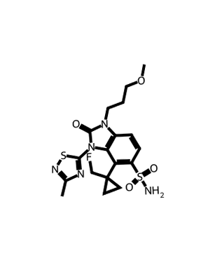 COCCCn1c(=O)n(-c2nc(C)ns2)c2c(C3(CF)CC3)c(S(N)(=O)=O)ccc21